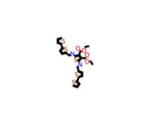 CCOC(=O)c1c(N=Cc2ccc(-c3cccs3)s2)sc(N=Cc2ccc(-c3cccs3)s2)c1C(=O)OCC